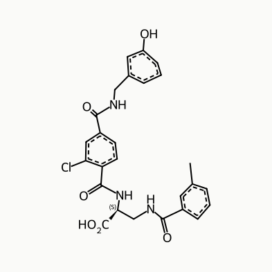 Cc1cccc(C(=O)NC[C@H](NC(=O)c2ccc(C(=O)NCc3cccc(O)c3)cc2Cl)C(=O)O)c1